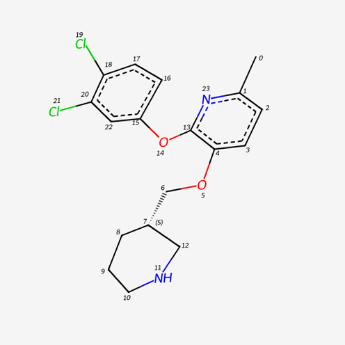 Cc1ccc(OC[C@H]2CCCNC2)c(Oc2ccc(Cl)c(Cl)c2)n1